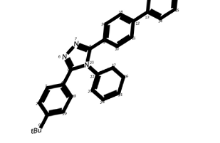 CC(C)(C)c1ccc(-c2nnc(-c3ccc(C4=CC=CCC4)cc3)n2C2=CC=CCC2)cc1